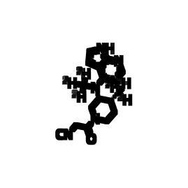 [2H]C([2H])([2H])[C@@H]1CCN(C(=O)C[N+]#[C-])C[C@@H]1N(c1ncnc2[nH]ccc12)C([2H])([2H])[2H]